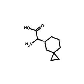 NC(C(=O)O)[C@H]1CCCC2(CC2)C1